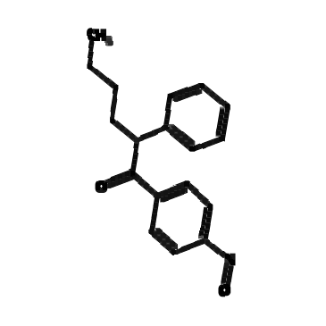 CCCCC(C(=O)c1ccc(N=O)cc1)c1ccccc1